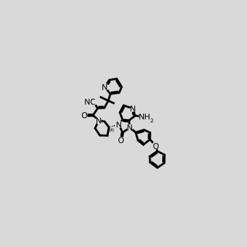 CC(C)(C=C(C#N)C(=O)N1CCC[C@@H](n2c(=O)n(-c3ccc(Oc4ccccc4)cc3)c3c(N)nccc32)C1)c1ccccn1